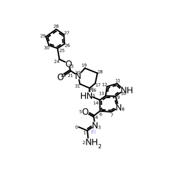 C/C(N)=N\C(=O)c1cnc2[nH]ccc2c1N[C@@H]1CCCN(C(=O)OCc2ccccc2)C1